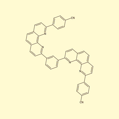 N#Cc1ccc(-c2ccc3ccc4ccc(-c5cccc(-c6ccc7ccc8ccc(-c9ccc(C#N)cc9)nc8c7n6)c5)nc4c3n2)cc1